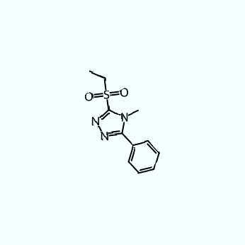 CCS(=O)(=O)c1nnc(-c2ccccc2)n1C